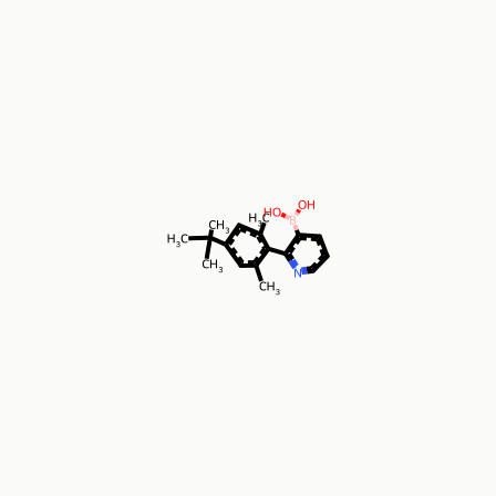 Cc1cc(C(C)(C)C)cc(C)c1-c1ncccc1B(O)O